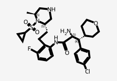 C[C@H]1CNC[C@H](CCc2c(F)cccc2NC(=O)[C@@H](N)[C@@H](c2ccc(Cl)cc2)C2CCOCC2)N1S(=O)(=O)C1CC1